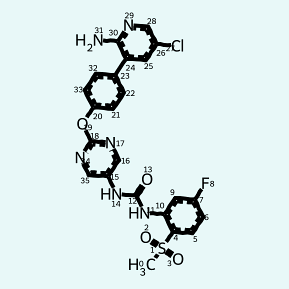 CS(=O)(=O)c1ccc(F)cc1NC(=O)Nc1cnc(Oc2ccc(-c3cc(Cl)cnc3N)cc2)nc1